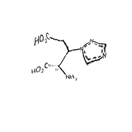 N[C@H](C(=O)O)C(CC(=O)O)n1cncn1